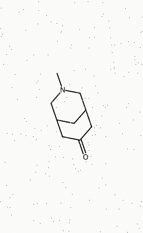 CN1CC2CC(=O)CC(C2)C1